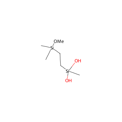 CO[Si](C)(C)CC[Si](C)(O)O